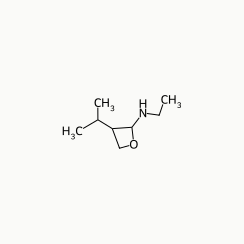 CCNC1OCC1C(C)C